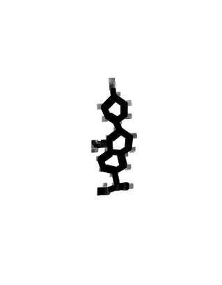 O=S(O)c1ccc2cc(-c3ccc(F)cc3)ccc2c1.[NaH]